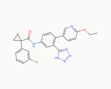 CCOc1ccc(-c2ccc(NC(=O)C3(c4cccc(Cl)c4)CC3)cc2-c2nnn[nH]2)cn1